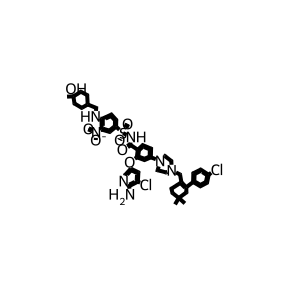 CC1(C)CCC(CN2CCN(c3ccc(C(=O)NS(=O)(=O)c4ccc(NCC5CCC(C)(O)CC5)c([N+](=O)[O-])c4)c(Oc4cnc(N)c(Cl)c4)c3)CC2)=C(c2ccc(Cl)cc2)C1